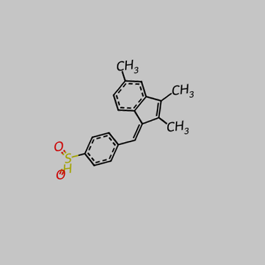 CC1=C(C)c2cc(C)ccc2/C1=C\c1ccc([SH](=O)=O)cc1